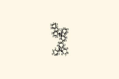 c1ccc(-n2c3ccccc3c3cc(-c4ccc5c6ccccc6n(-c6cccc7c6Cc6ccccc6-7)c5c4)ccc32)cc1